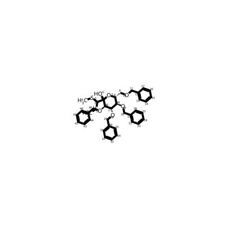 CSC(SC)C1(O)O[C@H](COCc2ccccc2)[C@@H](OCc2ccccc2)[C@H](OCc2ccccc2)[C@H]1OCc1ccccc1